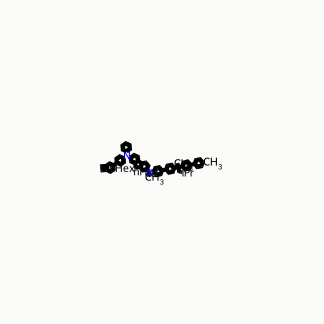 CCCCCCC1(CCCCCC)c2cc(N(C)c3ccc(-c4ccc(C(C)(CC(C)C)c5ccc(-c6ccc(C)cc6)cc5)cc4)cc3)ccc2-c2ccc(N(c3ccccc3)c3ccc(-c4ccc5c(c4)CC5)cc3)cc21